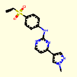 C=CS(=O)(=O)c1ccc(Nc2nccc(-c3cnn(C)c3)n2)cc1